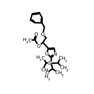 CC(=O)OC(COCc1ccccc1)c1cnc([Si](C(C)C)(C(C)C)C(C)C)o1